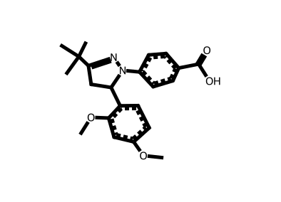 COc1ccc(C2CC(C(C)(C)C)=NN2c2ccc(C(=O)O)cc2)c(OC)c1